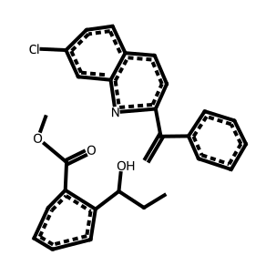 C=C(c1ccccc1)c1ccc2ccc(Cl)cc2n1.CCC(O)c1ccccc1C(=O)OC